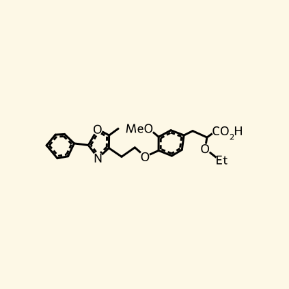 CCOC(Cc1ccc(OCCc2nc(-c3ccccc3)oc2C)c(OC)c1)C(=O)O